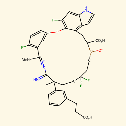 CN/C1=N\C(=N)C(C)(c2cccc(CCC(=O)O)c2)CCC(F)(F)CC[S+]([O-])C(C(=O)O)Cc2c(c(F)cc3[nH]ccc23)Oc2ccc(F)c1c2